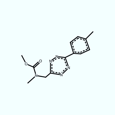 COC(=O)N(C)Cc1nnc(-c2ccc(C)cc2)nn1